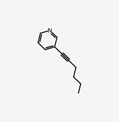 CCCCC#Cc1cccnc1